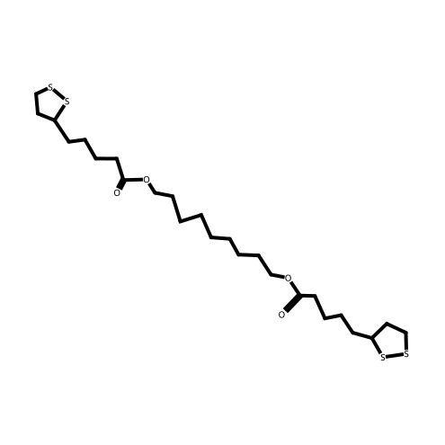 O=C(CCCCC1CCSS1)OCCCCCCCCCOC(=O)CCCCC1CCSS1